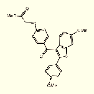 COC(=O)COc1ccc(C(=O)c2c(-c3ccc(OC)cc3)sc3cc(OC)ccc23)cc1